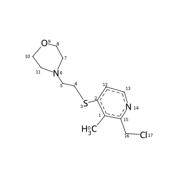 Cc1c(SCCN2CCOCC2)ccnc1CCl